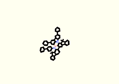 CC1(C)c2ccccc2-c2ccc3c(c21)N(c1ccc(-c2ccccc2)cc1)B1c2c-3cc3c(c2-n2c4ccc(-c5ccccc5)cc4c4cc(-c5ccccc5)cc1c42)C(C)(C)c1ccccc1-3